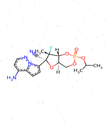 CC(C)OP1(=O)OC[C@H]2O[C@@](C#N)(c3ccc4c(N)ccnn34)[C@](C)(F)[C@@H]2O1